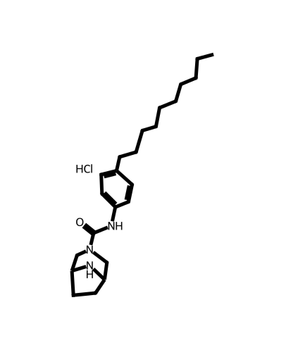 CCCCCCCCCCc1ccc(NC(=O)N2CC3CCC(C2)N3)cc1.Cl